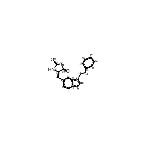 O=C1NC(=Cc2ccc3ccn(CCc4ccccc4)c3c2)C(=O)S1